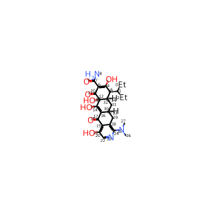 CCC(CC)[C@@H]1C(O)=C(C(N)=O)C(=O)[C@@]2(O)C(O)=C3C(=O)c4c(O)cnc(N(C)C)c4C[C@H]3C[C@@H]12